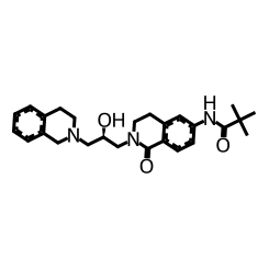 CC(C)(C)C(=O)Nc1ccc2c(c1)CCN(C[C@H](O)CN1CCc3ccccc3C1)C2=O